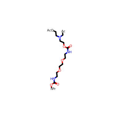 CCCOC(=O)NCCOCCOCCNC(=O)OCCN(CCOC(C)=O)CC(C)=O